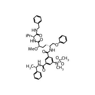 CO[C@H](CC[C@H](COc1ccccc1)NC(=O)c1cc(C(=O)N[C@H](C)c2ccccc2)cc(N(C)S(C)(=O)=O)c1)C(=O)N[C@H](C(=O)NCc1ccccc1)C(C)C